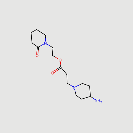 NC1CCN(CCC(=O)OCCN2CCCCC2=O)CC1